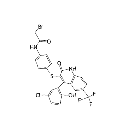 O=C(CBr)Nc1ccc(Sc2c(-c3cc(Cl)ccc3O)c3cc(C(F)(F)F)ccc3[nH]c2=O)cc1